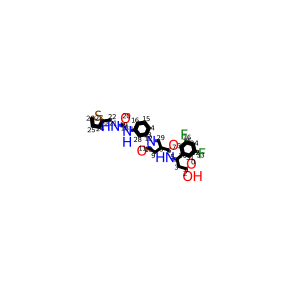 O=C(O)CC(NC(=O)C1CC(=O)N(c2cccc(NC(=O)NCc3cccs3)c2)C1)c1cc(F)cc(F)c1